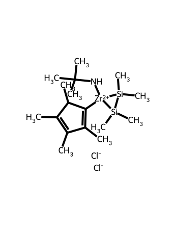 CC1=C(C)C(C)[C]([Zr+2]2([NH]C(C)(C)C)[Si](C)(C)[Si]2(C)C)=C1C.[Cl-].[Cl-]